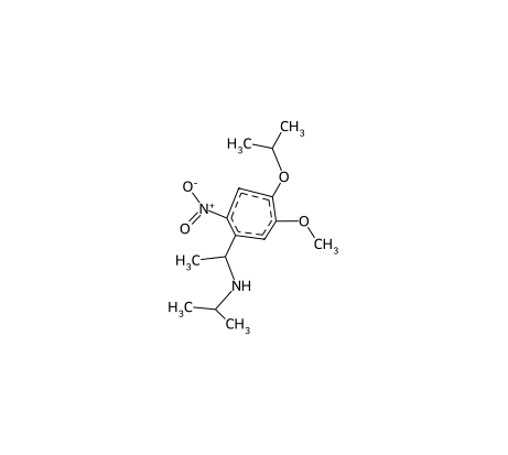 COc1cc(C(C)NC(C)C)c([N+](=O)[O-])cc1OC(C)C